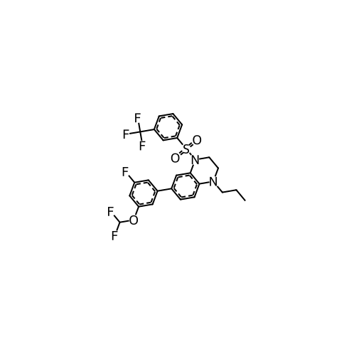 CCCN1CCN(S(=O)(=O)c2cccc(C(F)(F)F)c2)c2cc(-c3cc(F)cc(OC(F)F)c3)ccc21